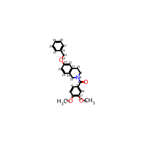 COc1ccc(C(=O)N2CCc3cc(OCc4ccccc4)ccc3C2)cc1OC